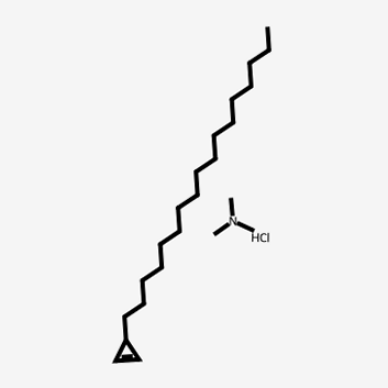 CCCCCCCCCCCCCCCCCC1C=C1.CN(C)C.Cl